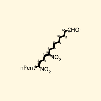 CCCCC/C(=C/C/C=C(/C/C=C/CCCC[C]=O)[N+](=O)[O-])[N+](=O)[O-]